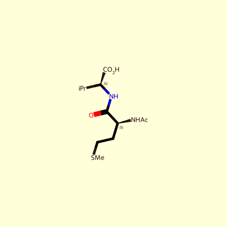 CSCC[C@H](NC(C)=O)C(=O)N[C@H](C(=O)O)C(C)C